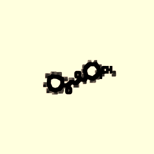 CC1(F)CCCCCC(CC(=O)CCC(=O)C2CCCCCCCC2)CC1